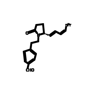 CCC/C=C\C=C\[C@H]1CCC(=O)N1CCc1ccc(C=O)cc1